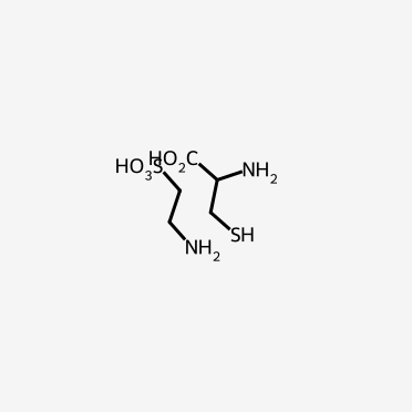 NC(CS)C(=O)O.NCCS(=O)(=O)O